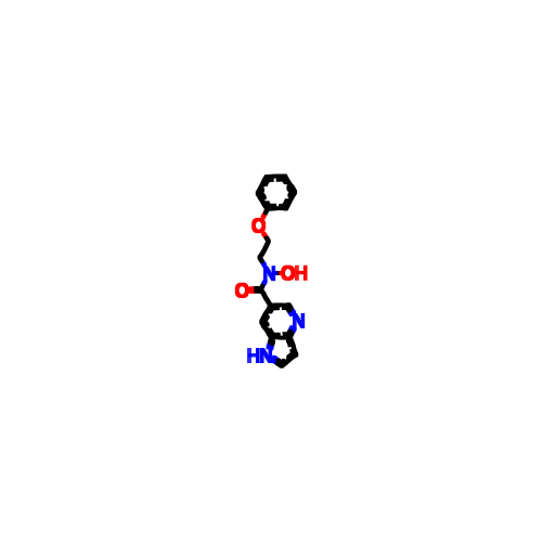 O=C(c1cnc2cc[nH]c2c1)N(O)CCOc1ccccc1